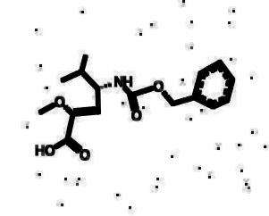 CO/C(=C\[C@@H](NC(=O)OCc1ccccc1)C(C)C)C(=O)O